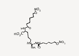 N=C(NCCCC(NC(=O)CCCCCO[N+](=O)[O-])C(=O)O)NC(=O)CCCCCO[N+](=O)[O-]